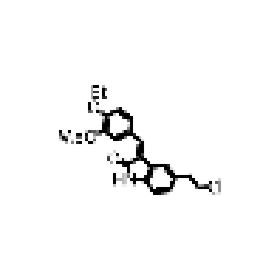 CCOc1ccc(C=C2C(=O)Nc3ccc(CCCl)cc32)cc1OC